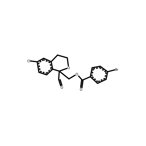 O=CC1(COC(=O)c2ccc(Br)cc2)OCCc2cc(Cl)ccc21